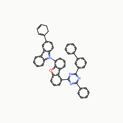 C1=CCCC(c2ccc3c(c2)c2ccccc2n3-c2cccc3c2oc2cccc(-c4nc(-c5ccccc5)nc(-c5cccc(-c6ccccc6)c5)n4)c23)=C1